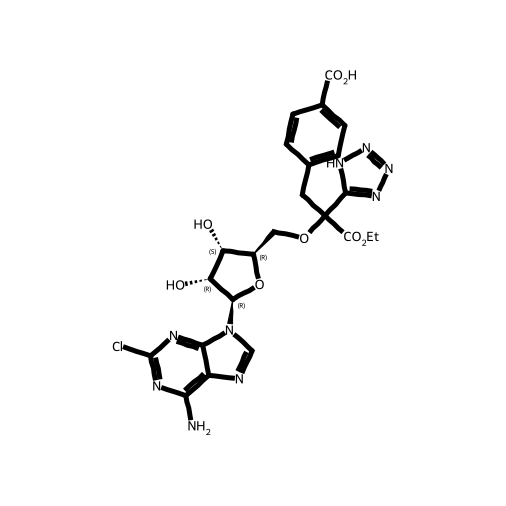 CCOC(=O)C(Cc1ccc(C(=O)O)cc1)(OC[C@H]1O[C@@H](n2cnc3c(N)nc(Cl)nc32)[C@H](O)[C@@H]1O)c1nnn[nH]1